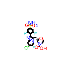 NS(=O)(=O)c1cc(F)c(-c2nc3cc(Cl)c(F)cn3c2C[C@H]2CN(C(=O)O)CCO2)c(F)c1